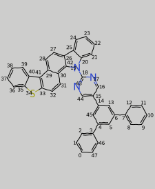 c1ccc(-c2cc(-c3ccccc3)cc(-c3cnc(-n4c5ccccc5c5ccc6c(ccc7sc8ccccc8c76)c54)nc3)c2)cc1